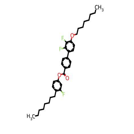 CCCCCCCCOc1ccc(-c2ccc(C(=O)Oc3ccc(CCCCCCCC)c(F)c3)cc2)c(F)c1F